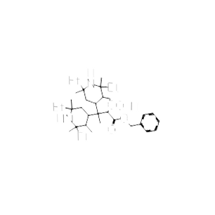 CCC1(C)CC(C(C)(C(C(=O)O)C(=O)OCc2ccccc2)C2CC(C)(CC)NC(C)(CC)C2C)C(C)C(C)(CC)N1